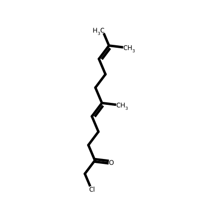 CC(C)=CCC/C(C)=C/CCC(=O)CCl